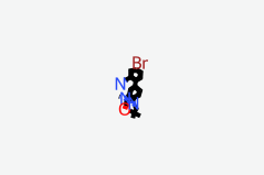 Cn1c(=O)n(CC(C)(C)C)c2ccc(-c3ccc(Br)cc3C#N)cc21